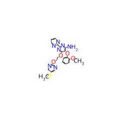 COc1ccccc1Oc1c(N)nc(-c2ncccn2)nc1OCCOc1ncc(SC)cn1